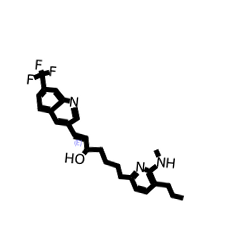 CCCc1ccc(CCCCC(O)/C=C/c2cnc3cc(C(F)(F)F)ccc3c2)nc1NC